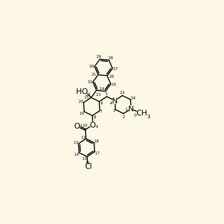 CN1CCN(CC2CC(OC(=O)c3ccc(Cl)cc3)CCC2(O)c2ccc3ccccc3c2)CC1